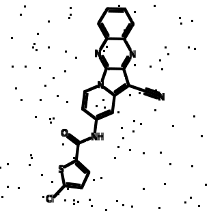 N#Cc1c2nc3ccccc3nc2n2ccc(NC(=O)c3ccc(Cl)s3)cc12